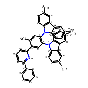 N#Cc1cc(-n2c3ccc(C(F)(F)F)cc3c3cc(C(F)(F)F)ccc32)c(-n2c3ccc(C(F)(F)F)cc3c3cc(C(F)(F)F)ccc32)cc1-c1cccc(-c2ccccc2)n1